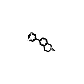 CN1CCc2cc(-c3cncnc3)ccc2C1